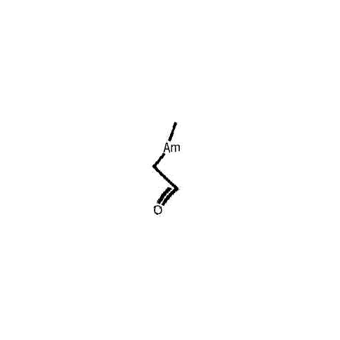 [CH3][Am][CH2]C=O